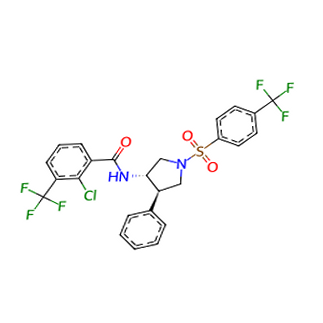 O=C(N[C@@H]1CN(S(=O)(=O)c2ccc(C(F)(F)F)cc2)C[C@H]1c1ccccc1)c1cccc(C(F)(F)F)c1Cl